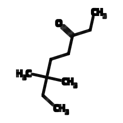 CCC(=O)CCC(C)(C)CC